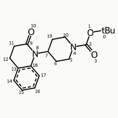 CC(C)(C)OC(=O)N1CCC(N2C(=O)CCc3ccccc32)CC1